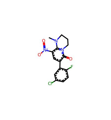 CN1CCCn2c1c([N+](=O)[O-])cc(-c1cc(Cl)ccc1F)c2=O